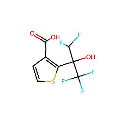 O=C(O)c1ccsc1C(O)(C(F)F)C(F)(F)F